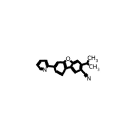 CC(C)c1cc2oc3cc(-c4ccccn4)ccc3c2cc1C#N